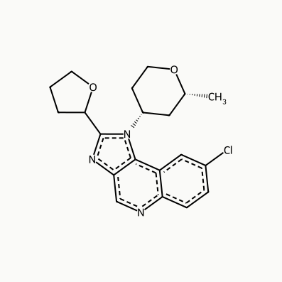 C[C@@H]1C[C@H](n2c(C3CCCO3)nc3cnc4ccc(Cl)cc4c32)CCO1